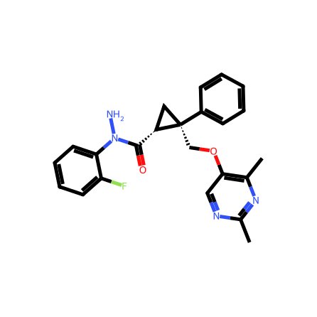 Cc1ncc(OC[C@@]2(c3ccccc3)C[C@H]2C(=O)N(N)c2ccccc2F)c(C)n1